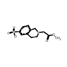 COC(=O)CN1CCc2cc(S(=O)(=O)Cl)ccc2C1